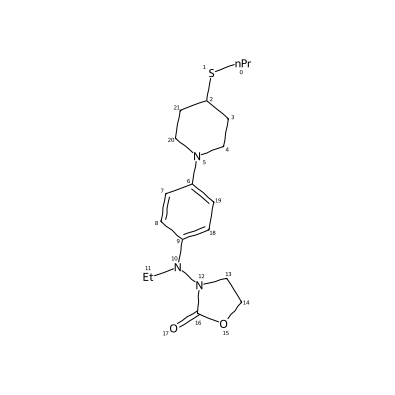 CCCSC1CCN(c2ccc(N(CC)N3CCOC3=O)cc2)CC1